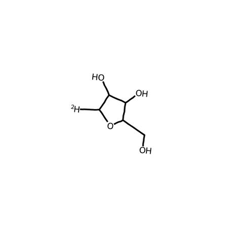 [2H]C1OC(CO)C(O)C1O